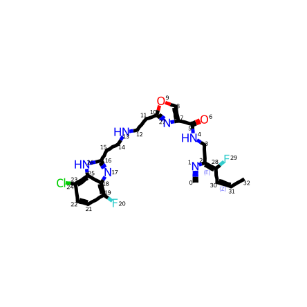 C=N/C(CNC(=O)c1coc(CCNCCc2nc3c(F)ccc(Cl)c3[nH]2)n1)=C(F)\C=C/C